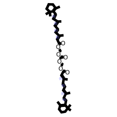 CC1=C(/C=C/C(C)=C/C=C/C(C)=C/C(=O)OCOC(=O)OCOC(=O)/C=C(C)/C=C/C=C(C)/C=C/C2=C(C)CCCC2(C)C)C(C)(C)CCC1